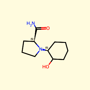 NC(=O)[C@@H]1CCCN1[C@H]1CCCCC1O